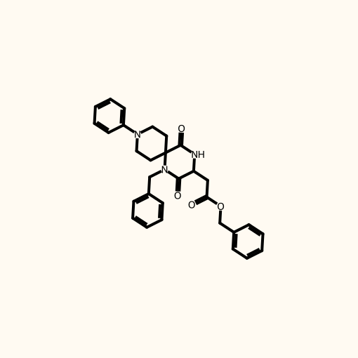 O=C(CC1NC(=O)C2(CCN(c3ccccc3)CC2)N(Cc2ccccc2)C1=O)OCc1ccccc1